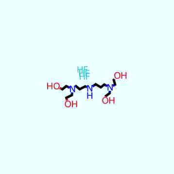 F.F.F.OCCN(CCO)CCCNCCCN(CCO)CCO